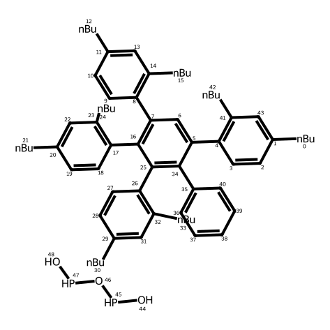 CCCCc1ccc(-c2cc(-c3ccc(CCCC)cc3CCCC)c(-c3ccc(CCCC)cc3CCCC)c(-c3ccc(CCCC)cc3CCCC)c2-c2ccccc2)c(CCCC)c1.OPOPO